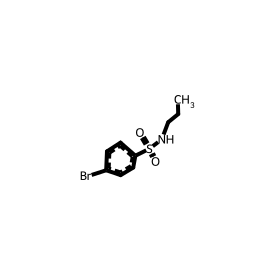 CCCNS(=O)(=O)c1ccc(Br)cc1